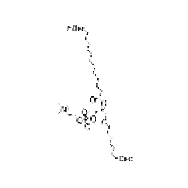 CCCCCCCCCCCCCCCCCCCCCC(=O)O[C@H](COCCCCCCCCCCCCCCCC)COP(=O)([O-])OCC[N+](C)(C)C